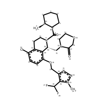 C[C@H]1CCCC[C@H]1C(=O)N1CCc2c(Cl)ccc(OCc3nnn(C)c3C(F)F)c2[C@H]1CN1CCOCC1=O